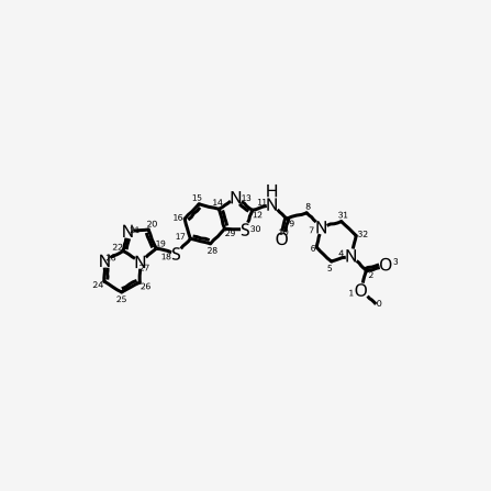 COC(=O)N1CCN(CC(=O)Nc2nc3ccc(Sc4cnc5ncccn45)cc3s2)CC1